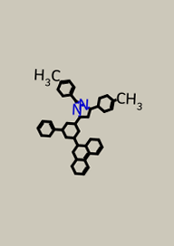 CC1=CC=C(C2N3C(C4CC=C(C)CC4)CC(C4CC(C5=CC=CCC5)CC(C5CC6CCC=CC6=C6C=CCCC65)C4)N23)CC1